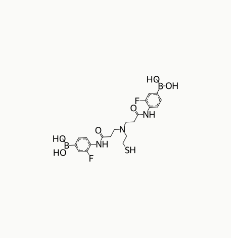 O=C(CCN(CCS)CCC(=O)Nc1ccc(B(O)O)cc1F)Nc1ccc(B(O)O)cc1F